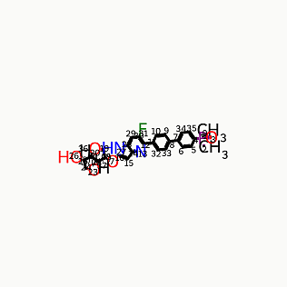 CP(C)(=O)c1ccc(-c2ccc(-c3nc4cc(O[C@@H]5CO[C@H]6[C@@H]5OC[C@H]6O)[nH]c4cc3F)cc2)cc1